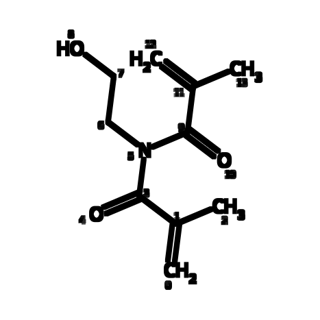 C=C(C)C(=O)N(CCO)C(=O)C(=C)C